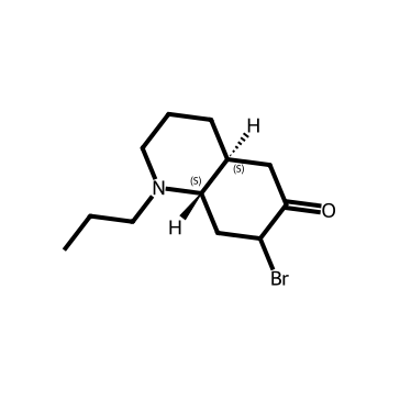 CCCN1CCC[C@H]2CC(=O)C(Br)C[C@@H]21